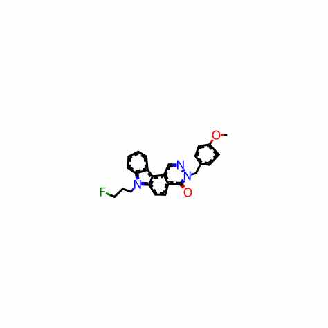 COc1ccc(Cn2ncc3c(ccc4c3c3ccccc3n4CCCF)c2=O)cc1